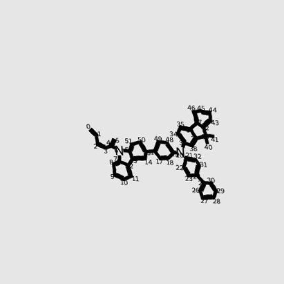 C=C/C=C\C(=C)n1c2ccccc2c2cc(-c3ccc(N(c4ccc(-c5ccccc5)cc4)c4ccc5c(c4)C(C)(C)c4ccccc4-5)cc3)ccc21